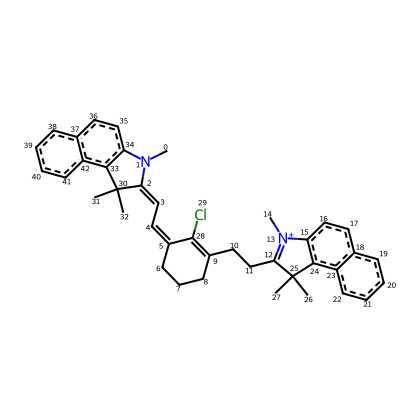 CN1/C(=C/C=C2/CCCC(CCC3=[N+](C)c4ccc5ccccc5c4C3(C)C)=C2Cl)C(C)(C)c2c1ccc1ccccc21